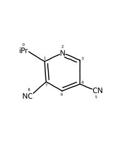 CC(C)c1ncc(C#N)cc1C#N